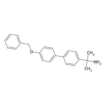 CC(C)(N)c1ccc(-c2ccc(OCc3ccccc3)cc2)cc1